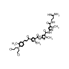 Cc1cc(C=CC(=O)c2cc(C(=O)Nc3cc(C(=O)Nc4cc(C(=O)NCCC(=N)N)n(C)n4)n(C)n3)n(C)c2)ccc1N(CCCl)CCCl